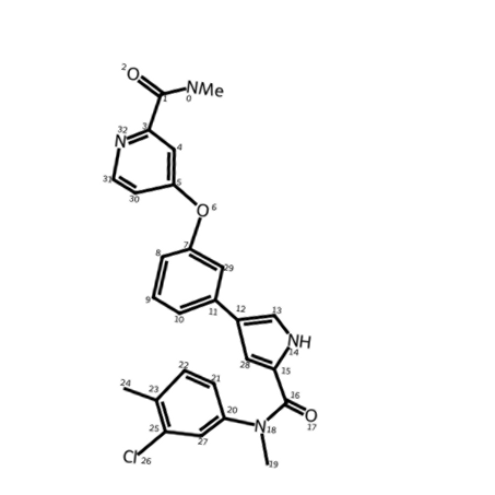 CNC(=O)c1cc(Oc2cccc(-c3c[nH]c(C(=O)N(C)c4ccc(C)c(Cl)c4)c3)c2)ccn1